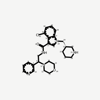 O=C(NCC(c1cccnc1)N1CCOCC1)c1cn(C[C@H]2CCCNC2)c2cccc(Cl)c12